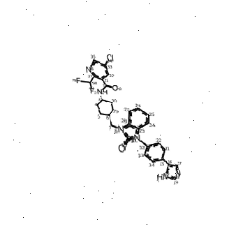 O=C(N[C@H]1CC[C@H](Cn2c(=O)n(-c3ccc(-c4cnc[nH]4)cc3)c3ccccc32)CC1)c1cc(Cl)cnc1C(F)F